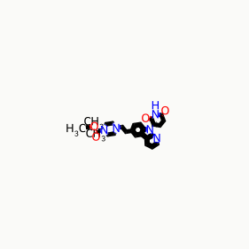 CC(C)(C)OC(=O)N1CCN(CCc2ccc3c(c2)c2cccnc2n3[C@H]2CCC(=O)NC2=O)CC1